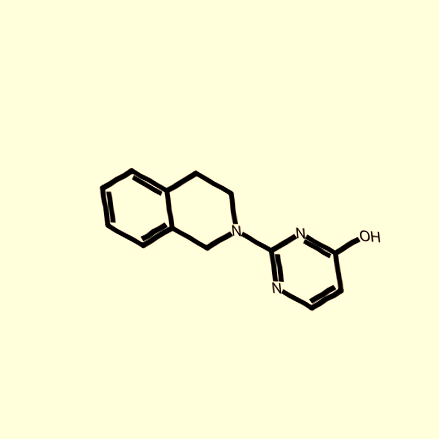 Oc1ccnc(N2CCc3ccccc3C2)n1